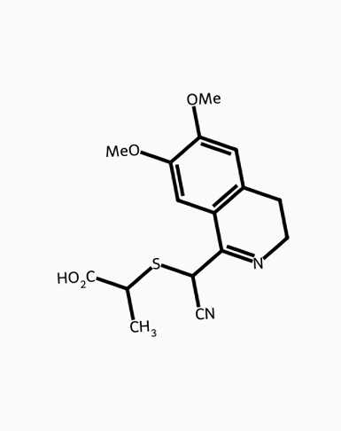 COc1cc2c(cc1OC)C(C(C#N)SC(C)C(=O)O)=NCC2